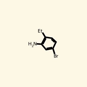 CCc1ccc(Br)cc1N